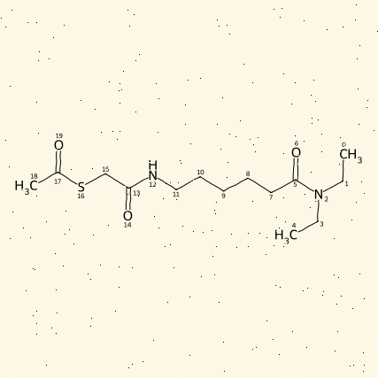 CCN(CC)C(=O)CCCCCNC(=O)CSC(C)=O